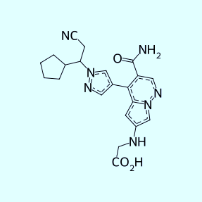 N#CCC(C1CCCC1)n1cc(-c2c(C(N)=O)cnn3cc(NCC(=O)O)cc23)cn1